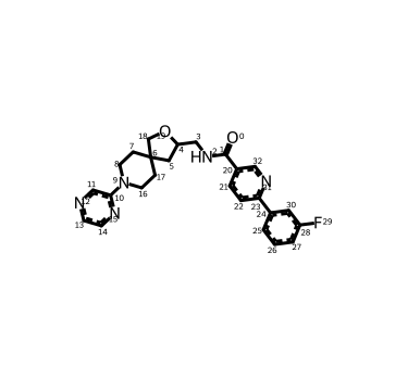 O=C(NCC1CC2(CCN(c3cnccn3)CC2)CO1)c1ccc(-c2cccc(F)c2)nc1